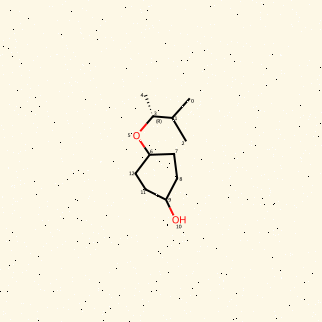 CC(C)[C@@H](C)OC1CCC(O)CC1